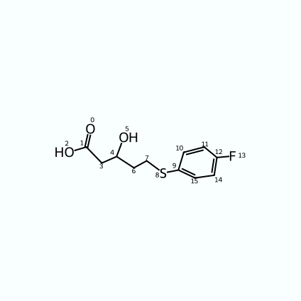 O=C(O)CC(O)CCSc1ccc(F)cc1